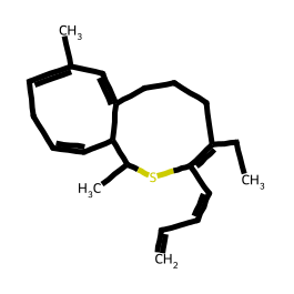 C=C/C=C\C1=C(/CC)CCC/C2=C/C(C)=C\CC=CC2C(C)S1